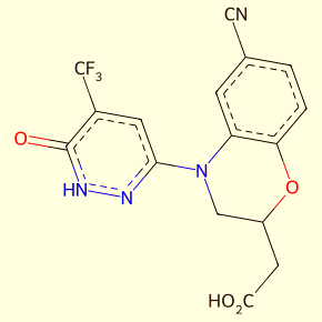 N#Cc1ccc2c(c1)N(c1cc(C(F)(F)F)c(=O)[nH]n1)CC(CC(=O)O)O2